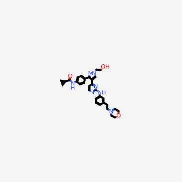 O=C(Nc1ccc(-c2nn(CCO)cc2-c2ccnc(Nc3cccc(CCN4CCOCC4)c3)n2)cc1)C1CC1